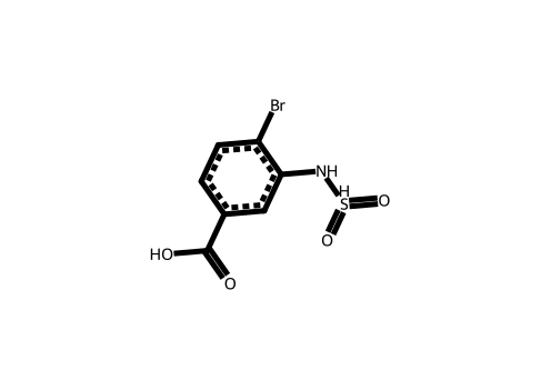 O=C(O)c1ccc(Br)c(N[SH](=O)=O)c1